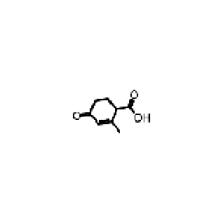 CC1=CC(=O)CCC1C(=O)O